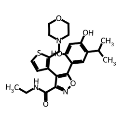 CCNC(=O)c1noc(-c2cc(C(C)C)c(O)cc2O)c1-c1ccsc1CN1CCOCC1